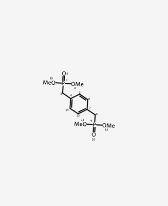 COP(=O)(Cc1ccc(CP(=O)(OC)OC)cc1)OC